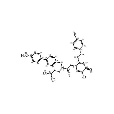 CCc1cn(CC(=O)N(CCN(CC)CC)Cc2ccc(-c3ccc(C)cc3)cc2)c(SCc2ccc(F)cc2)nc1=O